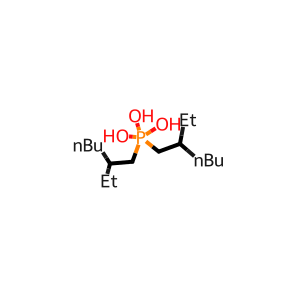 CCCCC(CC)CP(O)(O)(O)CC(CC)CCCC